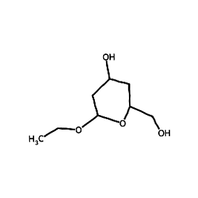 CCOC1CC(O)CC(CO)O1